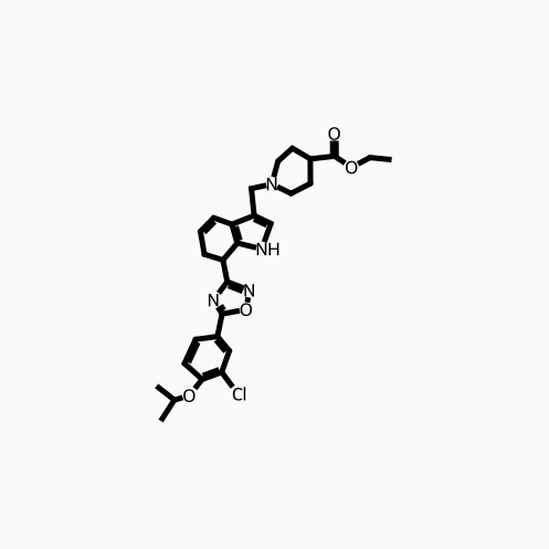 CCOC(=O)C1CCN(Cc2c[nH]c3c2C=CCC3c2noc(-c3ccc(OC(C)C)c(Cl)c3)n2)CC1